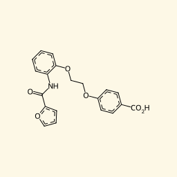 O=C(O)c1ccc(OCCOc2ccccc2NC(=O)c2ccco2)cc1